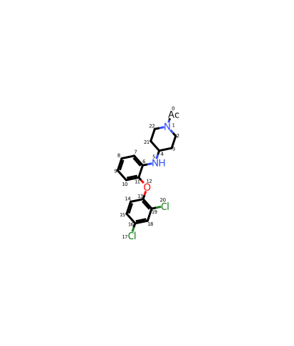 CC(=O)N1CCC(Nc2ccccc2Oc2ccc(Cl)cc2Cl)CC1